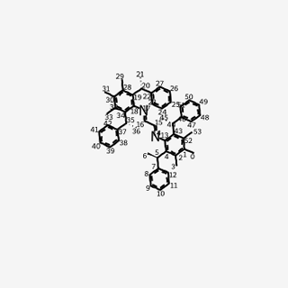 Cc1c(C)c([C@H](C)c2ccccc2)c(/N=C/C=N/c2c([C@H](C)c3ccccc3)c(C)c(C)c(C)c2[C@H](C)c2ccccc2)c([C@H](C)c2ccccc2)c1C